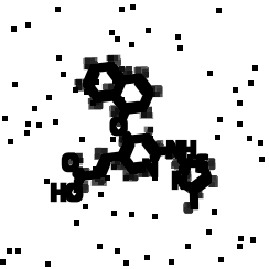 Cc1csc(Nc2cc(Oc3cccc4ccccc34)c(C=CC(=O)O)cn2)n1